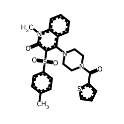 Cc1ccc(S(=O)(=O)c2c(N3CCN(C(=O)c4cccs4)CC3)c3ccccc3n(C)c2=O)cc1